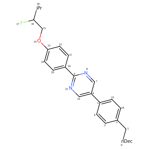 CCCCCCCCCCCc1ccc(-c2cnc(-c3ccc(OCC(F)C(C)C)cc3)nc2)cc1